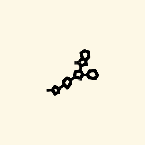 Cc1cnn(-c2ccc(-n3cc(-c4nc5ccccc5[nH]4)c(-c4ccccc4)n3)cc2)c1